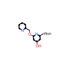 CCCCCCCCCc1cc(O)cc(OCc2ccccn2)n1